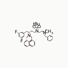 CN(CCN(CCC(Cc1cc(F)cc(F)c1)N(Cc1ccccc1)Cc1ccccc1)C(=O)OC(C)(C)C)Cc1ccccc1